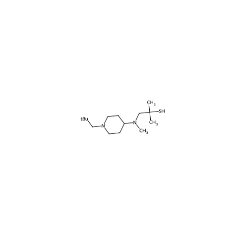 CN(CC(C)(C)S)C1CCN(CC(C)(C)C)CC1